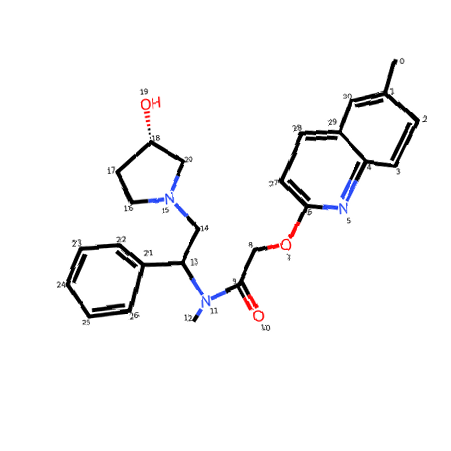 Cc1ccc2nc(OCC(=O)N(C)C(CN3CC[C@H](O)C3)c3ccccc3)ccc2c1